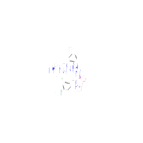 CC(C)CC(NC(C)N)c1cc(F)ccc1N1CCN(C(=O)C(Cc2ccc(Cl)cc2Cl)N2CCCC2=O)CC1